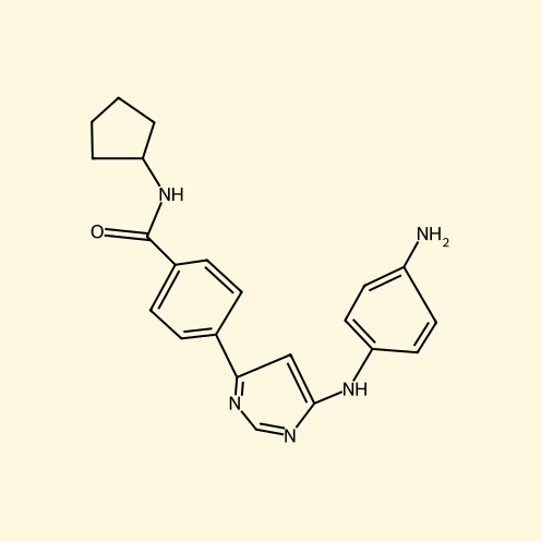 Nc1ccc(Nc2cc(-c3ccc(C(=O)NC4CCCC4)cc3)ncn2)cc1